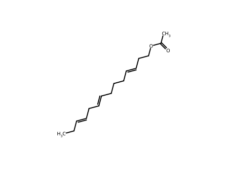 CC/C=C/C/C=C/CCC/C=C/CCOC(C)=O